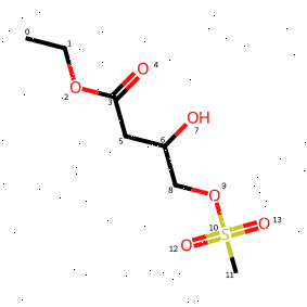 CCOC(=O)CC(O)COS(C)(=O)=O